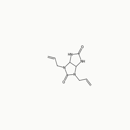 C=CCN1C(=O)N(CC=C)C2NC(=O)NC21